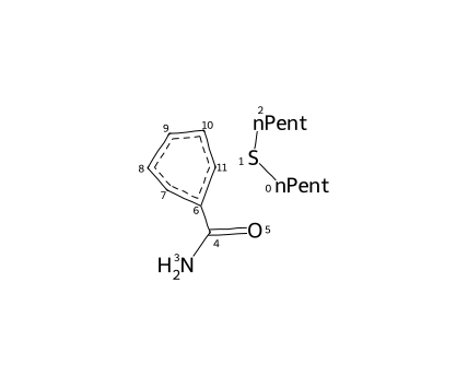 CCCCCSCCCCC.NC(=O)c1ccccc1